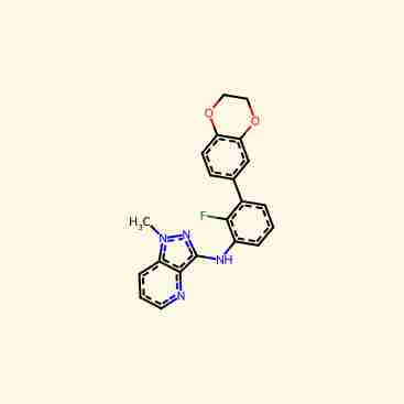 Cn1nc(Nc2cccc(-c3ccc4c(c3)OCCO4)c2F)c2ncccc21